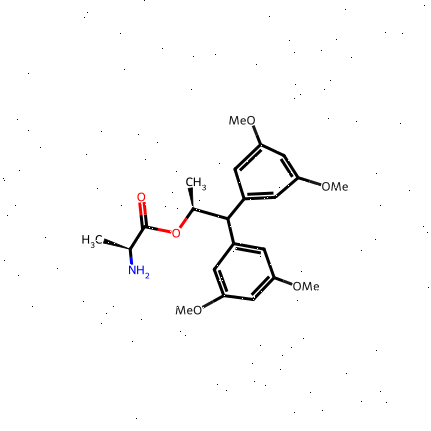 COc1cc(OC)cc(C(c2cc(OC)cc(OC)c2)[C@H](C)OC(=O)[C@H](C)N)c1